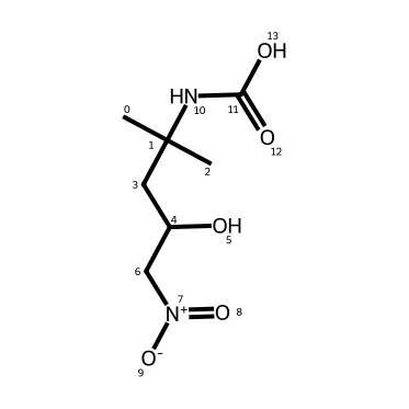 CC(C)(CC(O)C[N+](=O)[O-])NC(=O)O